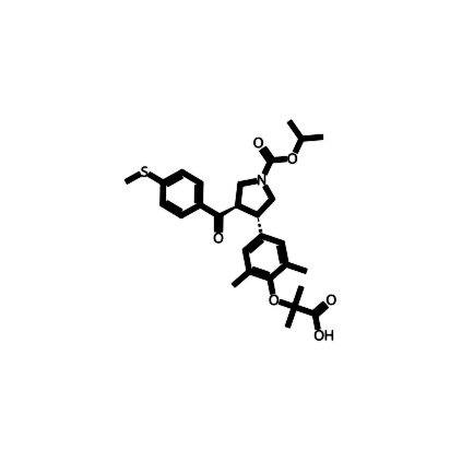 CSc1ccc(C(=O)[C@H]2CN(C(=O)OC(C)C)C[C@@H]2c2cc(C)c(OC(C)(C)C(=O)O)c(C)c2)cc1